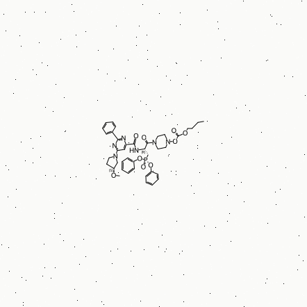 CCCCOC(=O)ON1CCN(C(=O)[C@H](CP(=O)(Oc2ccccc2)Oc2ccccc2)NC(=O)c2cc(N3CC[C@H](OC)C3)nc(-c3ccccc3)n2)CC1